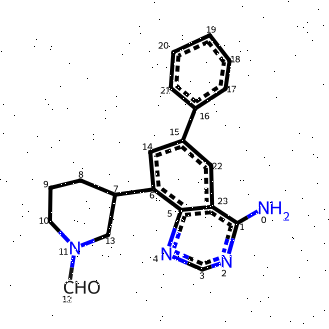 Nc1ncnc2c(C3CCCN(C=O)C3)cc(-c3ccccc3)cc12